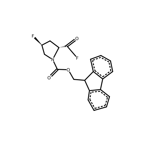 O=C(F)[C@H]1C[C@H](F)CN1C(=O)OCC1c2ccccc2-c2ccccc21